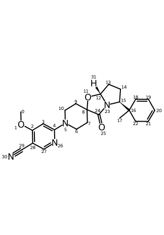 COc1cc(N2CCC3(CC2)O[C@@H]2CC[C@@H](C4(C)C=CC=CC4)N2C3=O)ncc1C#N